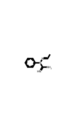 CC=NN(C(=N)N)c1ccccc1